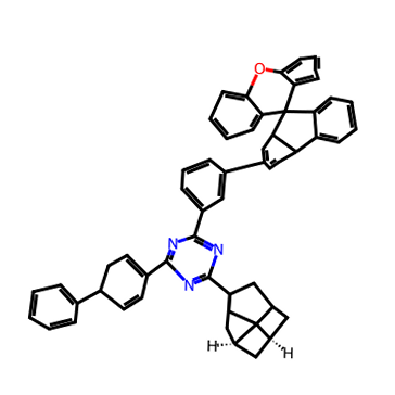 C1=CC2c3ccccc3C3(c4ccccc4Oc4ccccc43)C2C=C1c1cccc(-c2nc(C3=CCC(c4ccccc4)C=C3)nc(C34CC5C[C@H]6C[C@@H](C3)C56C4)n2)c1